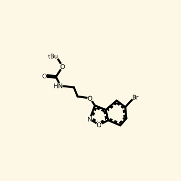 CC(C)(C)OC(=O)NCCOc1noc2ccc(Br)cc12